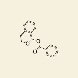 O=C(OC1=c2ccccc2=CCO1)c1ccccc1